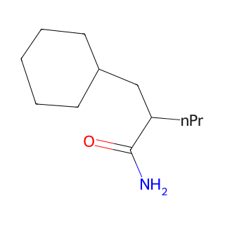 CCCC(CC1CCCCC1)C(N)=O